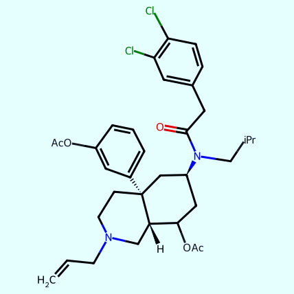 C=CCN1CC[C@@]2(c3cccc(OC(C)=O)c3)C[C@@H](N(CC(C)C)C(=O)Cc3ccc(Cl)c(Cl)c3)CC(OC(C)=O)[C@@H]2C1